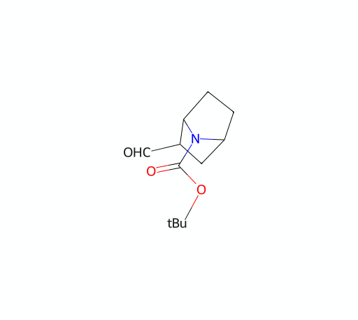 CC(C)(C)OC(=O)N1C2CCC1C(C=O)C2